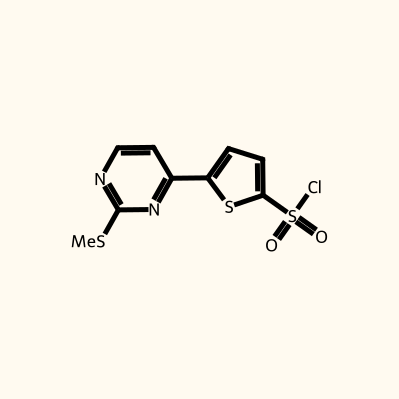 CSc1nccc(-c2ccc(S(=O)(=O)Cl)s2)n1